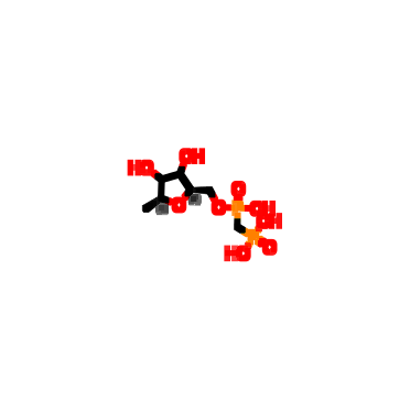 C[C@@H]1O[C@H](COP(=O)(O)CP(=O)(O)O)C(O)C1O